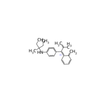 C=C(C)/C(C1=C=C=C(NC(C)(CC)CC)C=C1)=c1/ccccc1=C